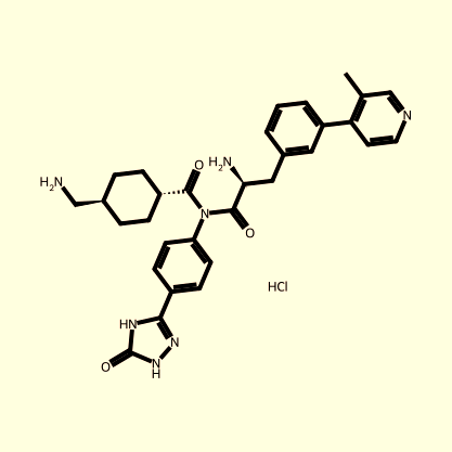 Cc1cnccc1-c1cccc(C[C@H](N)C(=O)N(c2ccc(-c3n[nH]c(=O)[nH]3)cc2)C(=O)[C@H]2CC[C@H](CN)CC2)c1.Cl